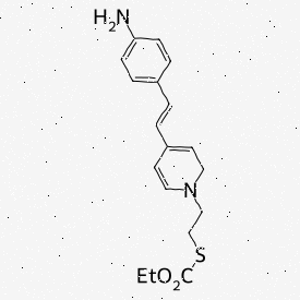 CCOC(=O)SCCN1C=CC(/C=C/c2ccc(N)cc2)=CC1